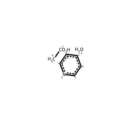 CC(=O)O.O.c1ccncc1